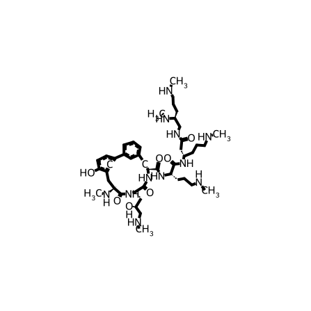 CNCCC[C@@H](CNC(=O)C[C@H](CCCNC)NC(=O)[C@H](CCCNC)NC(=O)[C@@H]1Cc2cccc(c2)-c2ccc(O)c(c2)C[C@H](NC)C(=O)N[C@@H](C[C@@H](O)CNC)C(=O)N1)NC